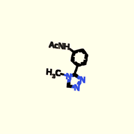 CC(=O)Nc1cccc(-c2nncn2C)c1